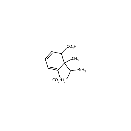 CC(N)C1(C)C(C(=O)O)=CC=CC1C(=O)O